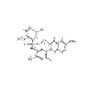 CNc1ncc2cc(-c3cc(NS(=O)(=O)c4cc(Cl)cnc4OC)c(C)cc3F)c(C)nc2n1